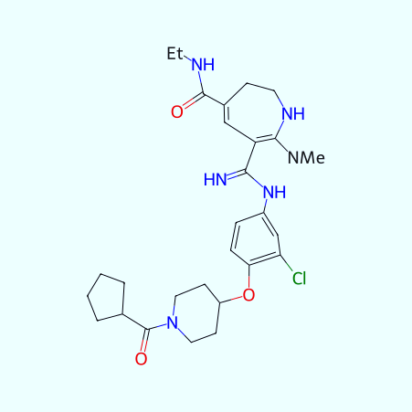 CCNC(=O)C1=CC(C(=N)Nc2ccc(OC3CCN(C(=O)C4CCCC4)CC3)c(Cl)c2)=C(NC)NCC1